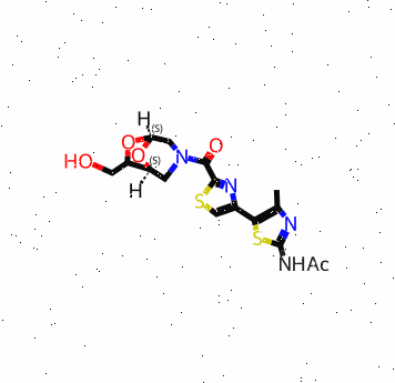 CC(=O)Nc1nc(C)c(-c2csc(C(=O)N3C[C@@H]4OC(CO)[C@H](C3)O4)n2)s1